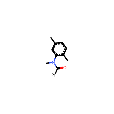 Cc1ccc(C)c(N(C)C(=O)C(C)C)c1